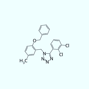 Cc1ccc(OCc2ccccc2)c(Cn2nnnc2-c2cccc(Cl)c2Cl)c1